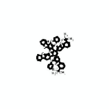 Cc1ccccc1N(c1cccc2c1oc1c(C(C)(C)C)cccc12)c1cc2c3ccccc3oc2c2c1c1cccc3c4c(N(c5ccccc5)c5cccc6c5oc5c(C(C)(C)C)cccc56)cc5c6ccccc6oc5c4n2c31